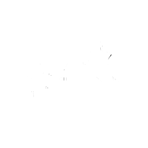 O=C([C@H]1CCN(Cc2ccccc2)C[C@@H]1c1ccccc1)N1CCC(O)(Cn2cnc3[nH]ccc3c2=O)CC1